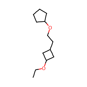 CCOC1CC(CCOC2CCCC2)C1